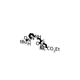 CCOC(=O)C(C#N)CC1SC(CCNc2cccc(NC(=O)C(C)(C)C)n2)C(=O)N1CC